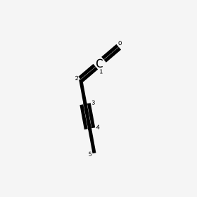 C=C=CC#CC